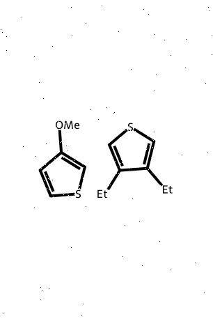 CCc1cscc1CC.COc1ccsc1